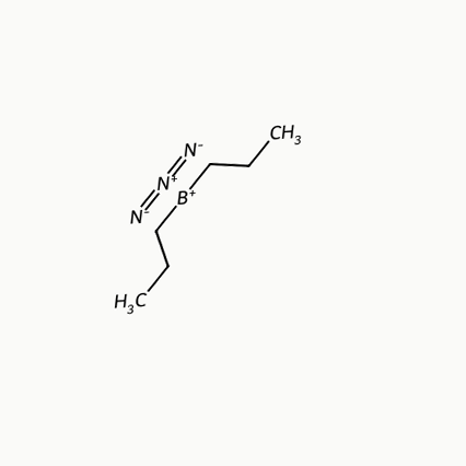 CCC[B+]CCC.[N-]=[N+]=[N-]